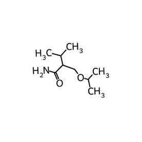 CC(C)OCC(C(N)=O)C(C)C